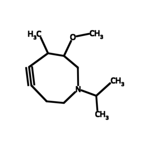 COC1CN(C(C)C)CCC#CC1C